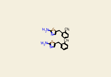 N#Cc1ccccc1Cc1cnc(N)s1.N#Cc1ccccc1Cc1cnc(N)s1